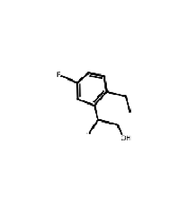 [CH2]C(CO)c1cc(F)ccc1CC